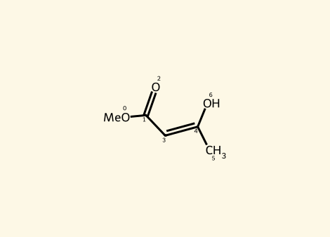 COC(=O)C=C(C)O